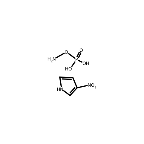 NOP(=O)(O)O.O=[N+]([O-])c1cc[nH]c1